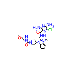 CC[n+]1c(CNC(=O)c2nc(Cl)c(N)nc2N)n(C2CCN(C(=O)NCCOC)CC2)c2ccccc21